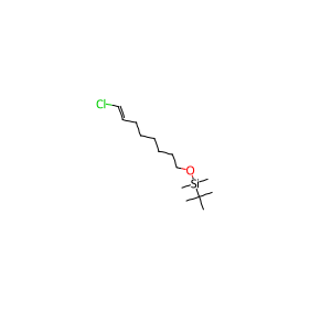 CC(C)(C)[Si](C)(C)OCCCCCCC=CCl